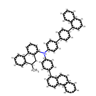 CC1Cc2c(cccc2N(c2ccc(-c3ccc(-c4cccc5ccccc45)cc3)cc2)c2ccc(-c3cccc4c3ccc3ccccc34)cc2)-c2ccccc21